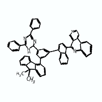 CC1(C)c2ccccc2-c2c(-c3cc(-c4ccc(-c5nc6ccccc6c6ccncc56)c5ccccc45)cc(C4N=C(c5ccccc5)N=C(c5ccccc5)N4)c3)cccc21